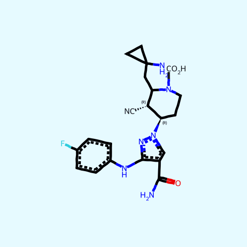 N#C[C@@H]1C(CC2(N)CC2)N(C(=O)O)CC[C@H]1n1cc(C(N)=O)c(Nc2ccc(F)cc2)n1